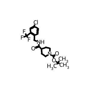 CC(C)(C)OC(=O)N1CCC(C(=O)NCc2ccc(Cl)cc2C(F)(F)F)CC1